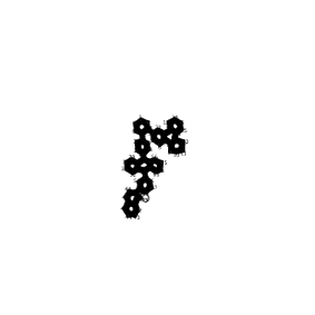 c1ccc(-c2ccc3c4ccccc4c4ccccc4c3c2)c(-c2ccc(-c3c4ccccc4c(-c4ccc5oc6c7ccccc7ccc6c5c4)c4ccccc34)cc2)c1